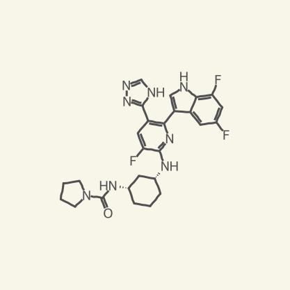 O=C(N[C@H]1CCC[C@@H](Nc2nc(-c3c[nH]c4c(F)cc(F)cc34)c(-c3nnc[nH]3)cc2F)C1)N1CCCC1